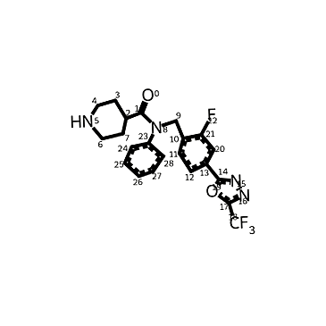 O=C(C1CCNCC1)N(Cc1ccc(-c2nnc(C(F)(F)F)o2)cc1F)c1ccccc1